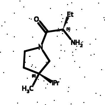 CC[C@H](N)C(=O)N1CC[C@](C)(C(C)C)C1